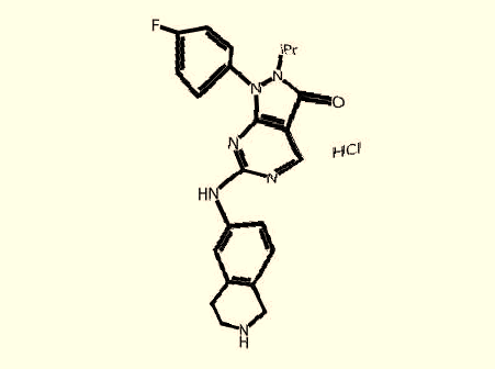 CC(C)n1c(=O)c2cnc(Nc3ccc4c(c3)CCNC4)nc2n1-c1ccc(F)cc1.Cl